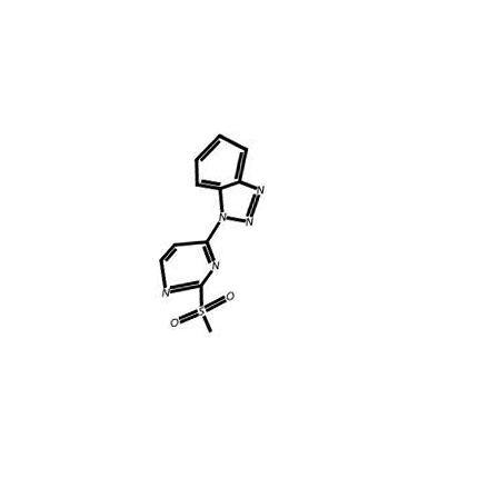 CS(=O)(=O)c1nccc(-n2nnc3ccccc32)n1